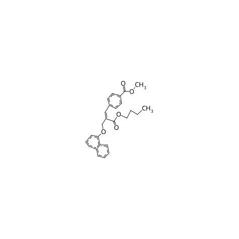 CCCCOC(=O)/C(=C\c1ccc(C(=O)OC)cc1)COc1cccc2ccccc12